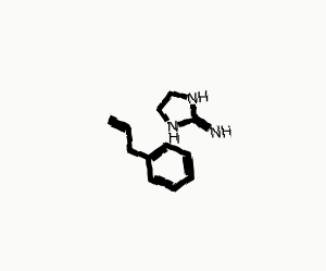 C=CCc1ccccc1.N=C1NCCN1